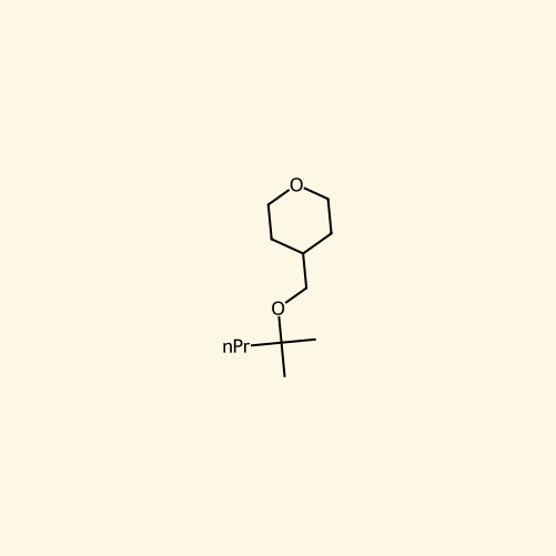 CCCC(C)(C)OCC1CCOCC1